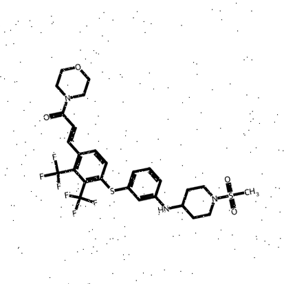 CS(=O)(=O)N1CCC(Nc2cccc(Sc3ccc(C=CC(=O)N4CCOCC4)c(C(F)(F)F)c3C(F)(F)F)c2)CC1